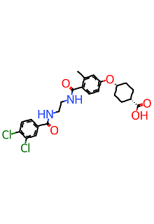 Cc1cc(O[C@H]2CC[C@@H](C(=O)O)CC2)ccc1C(=O)NCCNC(=O)c1ccc(Cl)c(Cl)c1